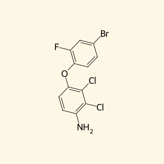 Nc1ccc(Oc2ccc(Br)cc2F)c(Cl)c1Cl